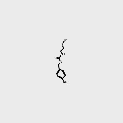 O=C(NCCSBr)OCc1ccc([N+](=O)[O-])cc1